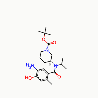 Cc1cc(O)c(N)cc1C(=O)N(C(C)C)[C@@H]1CCCN(C(=O)OC(C)(C)C)C1